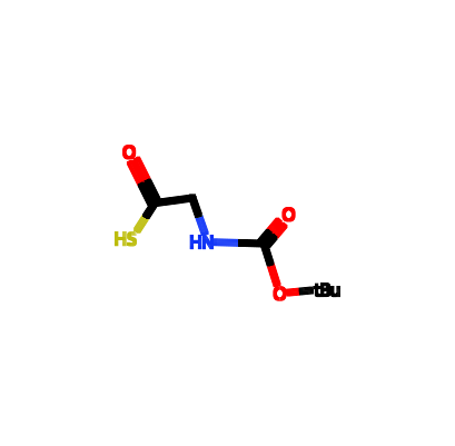 CC(C)(C)OC(=O)NCC(=O)S